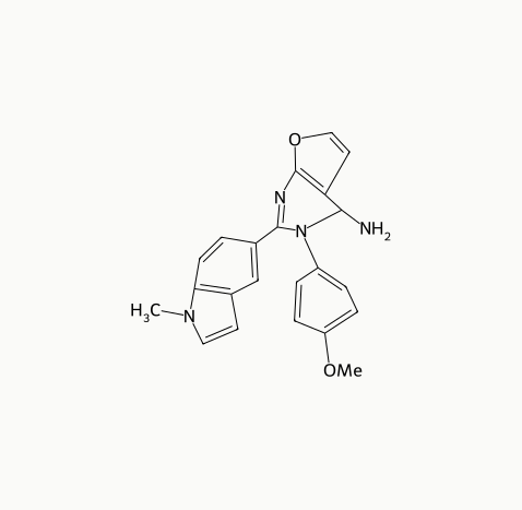 COc1ccc(N2C(c3ccc4c(ccn4C)c3)=Nc3occc3C2N)cc1